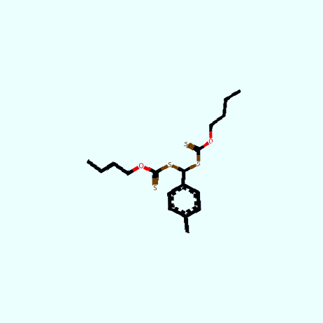 CCCCOC(=S)SC(SC(=S)OCCCC)c1ccc(C)cc1